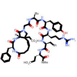 CCC(C)[C@H](NC(=O)CN1CC2(CC(=O)O)/C=C\CCC(=O)N[C@@H](Cc3ccccc3)C(=O)N[C@@H]2C1=O)C(=O)N[C@@H](Cc1ccc(O)cc1)C(=O)N[C@@H](CCCNC(=N)N)C(=O)N[C@@H](CC(C)C)C(=O)N[C@@H](CCC(=O)O)C(=O)NC